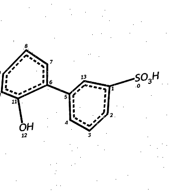 O=S(=O)(O)c1cccc(-c2ccccc2O)c1